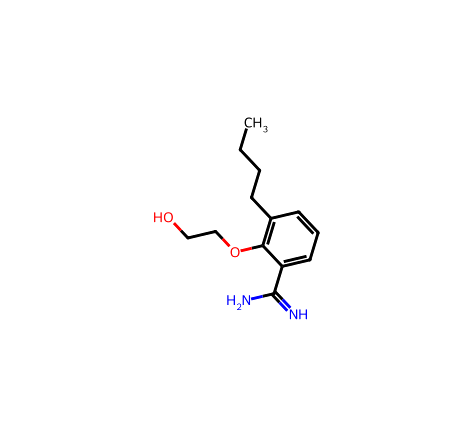 CCCCc1cccc(C(=N)N)c1OCCO